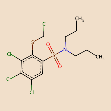 CCCN(CCC)S(=O)(=O)c1cc(Cl)c(Cl)c(Cl)c1SCCl